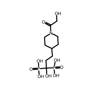 O=C(CO)N1CCC(CCC(O)(P(=O)(O)O)P(=O)(O)O)CC1